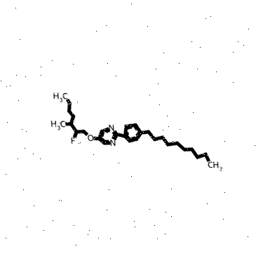 CCCCCCCCCCc1ccc(-c2ncc(OCC(F)C(C)CCCC)cn2)cc1